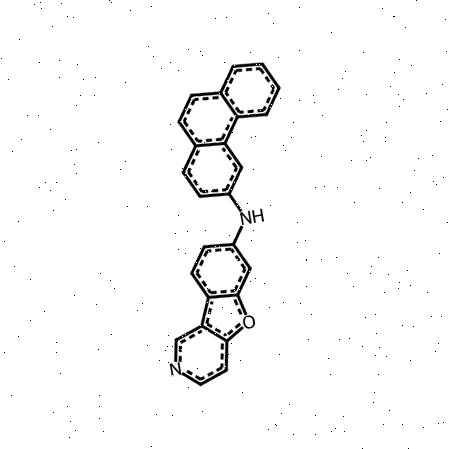 c1ccc2c(c1)ccc1ccc(Nc3ccc4c(c3)oc3ccncc34)cc12